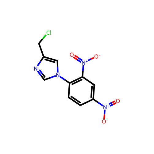 O=[N+]([O-])c1ccc(-n2cnc(CCl)c2)c([N+](=O)[O-])c1